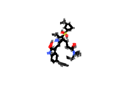 COc1ccc2c(c1)/C(=C/c1[nH]c(C)c(S(=O)(=O)c3cccc(C(=O)O)c3)c1CCC(=O)N(C)C)C(=O)N2